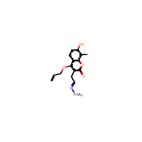 C=CCOc1c(CC=NOC)c(=O)oc2c(C)c(O)ccc12